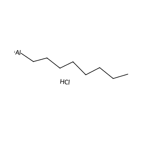 CCCCCCC[CH2][Al].Cl